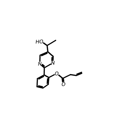 C=CCC(=O)Oc1ccccc1-c1ncc(C(C)O)cn1